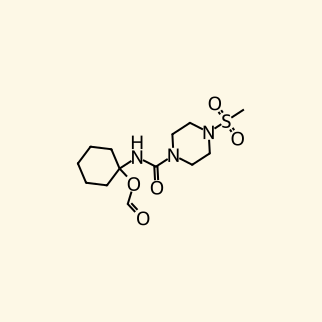 CS(=O)(=O)N1CCN(C(=O)NC2(OC=O)CCCCC2)CC1